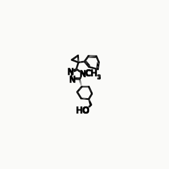 Cn1c(C2(c3ccccc3)CC2)nnc1[C@H]1CC[C@H](CO)CC1